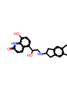 O=c1ccc2c(C(O)CNC3Cc4cc5c(cc4C3)CCCC5)ccc(O)c2[nH]1